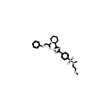 COCCN(C)S(=O)(=O)c1ccc(-c2noc(C3CCCCN3C(=O)COc3ccccc3)n2)cc1